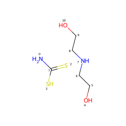 NC(=S)S.OCCNCCO